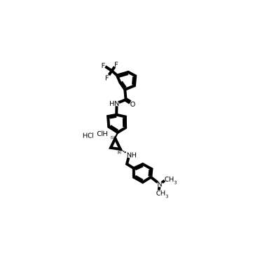 CN(C)c1ccc(CN[C@@H]2C[C@H]2c2ccc(NC(=O)c3cccc(C(F)(F)F)c3)cc2)cc1.Cl.Cl